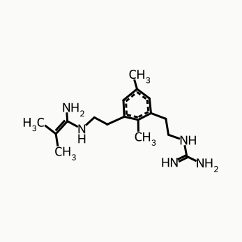 CC(C)=C(N)NCCc1cc(C)cc(CCNC(=N)N)c1C